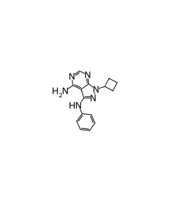 Nc1ncnc2c1c(Nc1ccccc1)nn2C1CCC1